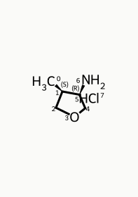 C[C@@H]1COC[C@@H]1N.Cl